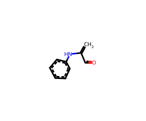 C=C(C=O)Nc1c[c]ccc1